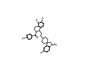 CC(=O)N1CC2(CCN(CCC3c4ccc(F)c(F)c4CCN3C(=O)c3ccc(F)cc3)CC2)c2cc(F)ccc21